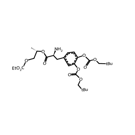 CCOC(=O)OC[C@H](C)OC(=O)[C@@H](N)Cc1ccc(OC(=O)OCC(C)(C)C)c(OC(=O)OCC(C)(C)C)c1